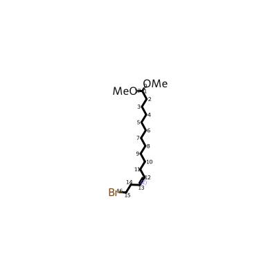 COC(CCCCCCCCCC/C=C\CCBr)OC